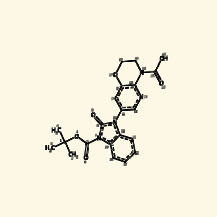 CC(C)(C)OC(=O)n1c(=O)n(-c2cnc3c(c2)OCCN3C(=O)O)c2ccccc21